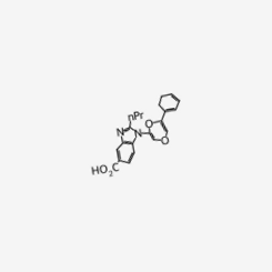 CCCc1nc2cc(C(=O)O)ccc2n1C1=COC=C(C2=CC=CCC2)O1